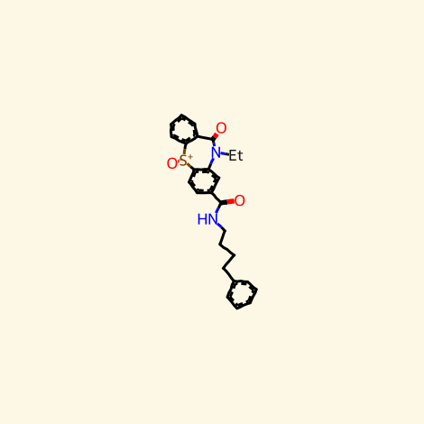 CCN1C(=O)c2ccccc2[S+]([O-])c2ccc(C(=O)NCCCCc3ccccc3)cc21